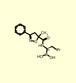 CC(C)C[C@H](NC(=O)C1(C)CC(c2ccccc2)=NO1)B(O)O